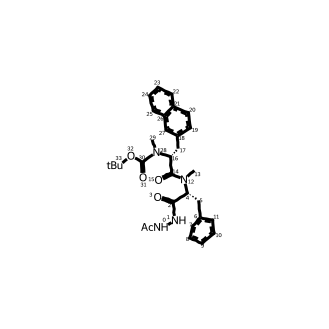 CC(=O)NNC(=O)[C@@H](Cc1ccccc1)N(C)C(=O)[C@@H](Cc1ccc2ccccc2c1)N(C)C(=O)OC(C)(C)C